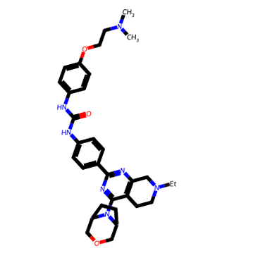 CCN1CCc2c(nc(-c3ccc(NC(=O)Nc4ccc(OCCN(C)C)cc4)cc3)nc2N2C3CCC2COC3)C1